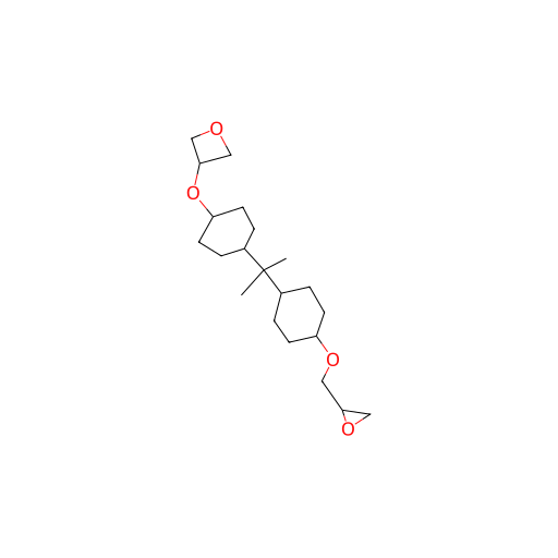 CC(C)(C1CCC(OCC2CO2)CC1)C1CCC(OC2COC2)CC1